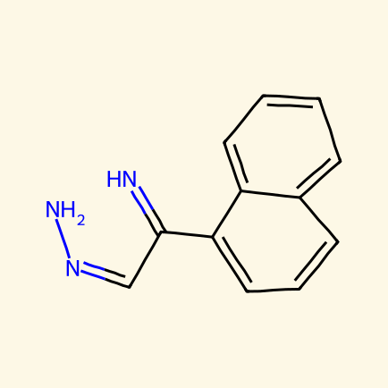 N=C(/C=N\N)c1cccc2ccccc12